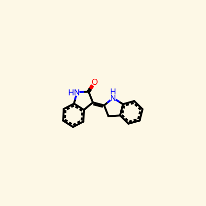 O=C1Nc2ccccc2C1=C1Cc2ccccc2N1